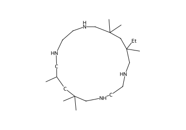 CCC1(C)CNCCNCC(C)(C)CC(C)CNCCNCC(C)(C)C1